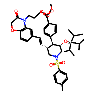 COCCCN1C(=O)COc2ccc(C=C[C@H]3CN(S(=O)(=O)c4ccc(C)cc4)C[C@@H](O[Si](C(C)C)(C(C)C)C(C)C)[C@@H]3c3ccc(C(=O)OC)cc3)cc21